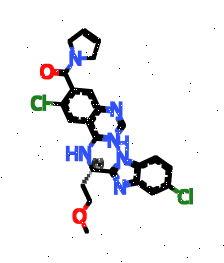 COCC[C@H](Nc1ncnc2cc(C(=O)N3CC=CC3)c(Cl)cc12)c1nc2cc(Cl)ccc2[nH]1